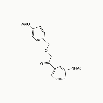 COc1ccc(COCC(=O)c2cccc(NC(C)=O)c2)cc1